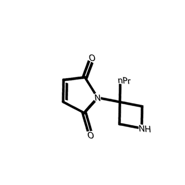 CCCC1(N2C(=O)C=CC2=O)CNC1